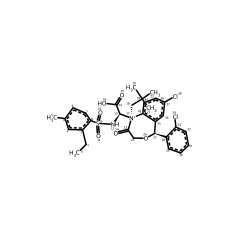 CCc1cc(C)ccc1S(=O)(=O)N[C@@H](C(=O)O)[N@+]1(CC(C)(C)C)C(=O)CO[C@H](c2ccccc2Cl)c2cc(Cl)ccc21